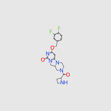 O=C(C1CCN1)N1CCN2c3cc(OCc4ccc(F)c(F)c4)nc(=O)n3CC2C1